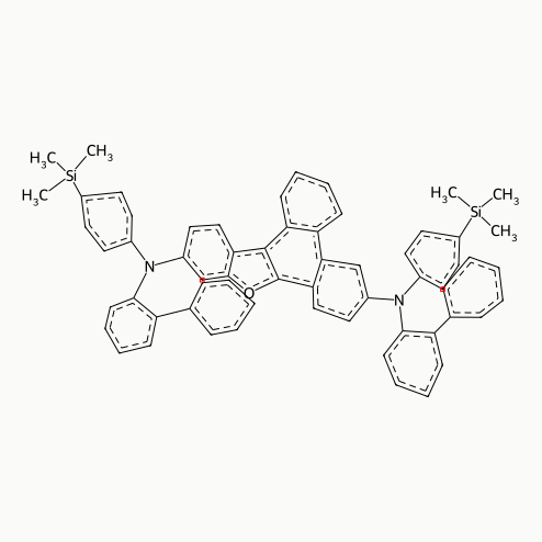 C[Si](C)(C)c1ccc(N(c2ccc3c(c2)oc2c4ccc(N(c5ccc([Si](C)(C)C)cc5)c5ccccc5-c5ccccc5)cc4c4ccccc4c32)c2ccccc2-c2ccccc2)cc1